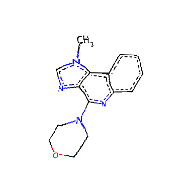 Cn1cnc2c(N3CCOCC3)nc3ccccc3c21